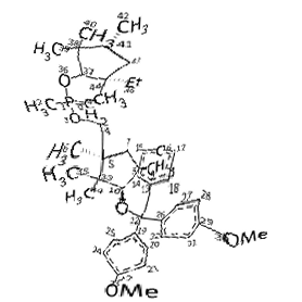 C=P(C)(OC[C@@]1(C)C[C@@H](C)[C@@H](OC(c2ccccc2)(c2ccc(OC)cc2)c2ccc(OC)cc2)C1(C)C)OC1C(C)(C)[C@H](C)C[C@]1(C)CC